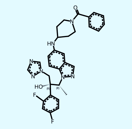 C[C@@H](n1ncc2cc(NC3CCN(C(=O)c4ccccc4)CC3)ccc21)[C@](O)(Cn1cncn1)c1ccc(F)cc1F